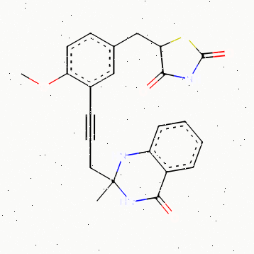 COc1ccc(CC2SC(=O)NC2=O)cc1C#CCC1(C)NC(=O)c2ccccc2N1